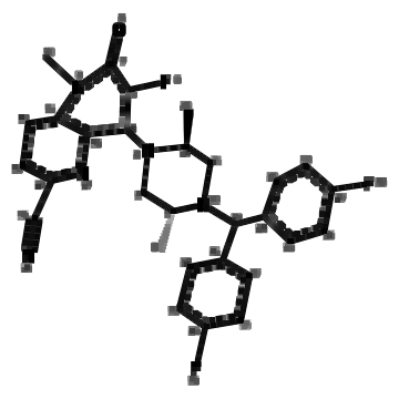 C[C@@H]1CN(c2c(F)c(=O)n(C)c3ccc(C#N)nc23)[C@@H](C)CN1C(c1ccc(F)cc1)c1ccc(F)cc1